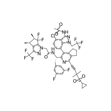 C[C@@H]1c2c(C(F)(F)F)nn(CC(=O)N[C@@H](Cc3cc(F)cc(F)c3)c3nc(C#CC(C)(C)S(=O)(=O)C4CC4)c4c(c3-c3ccc(Cl)c5c(NS(C)(=O)=O)nn(CC(F)(F)F)c35)CCC4)c2C(F)(F)[C@@H]1C